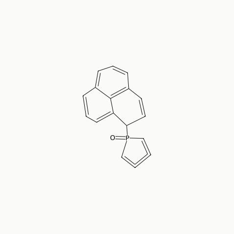 O=P1(C2C=Cc3cccc4cccc2c34)C=C=C=C1